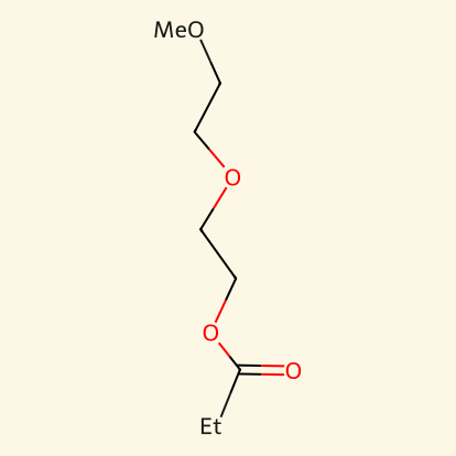 [CH2]CC(=O)OCCOCCOC